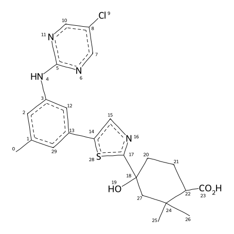 Cc1cc(Nc2ncc(Cl)cn2)cc(-c2cnc(C3(O)CCC(C(=O)O)C(C)(C)C3)s2)c1